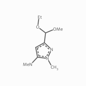 CCOC(OC)c1cc(NC)n(C)n1